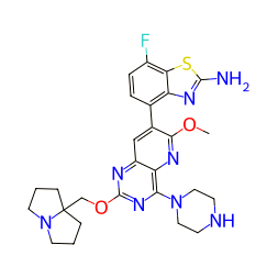 COc1nc2c(N3CCNCC3)nc(OCC34CCCN3CCC4)nc2cc1-c1ccc(F)c2sc(N)nc12